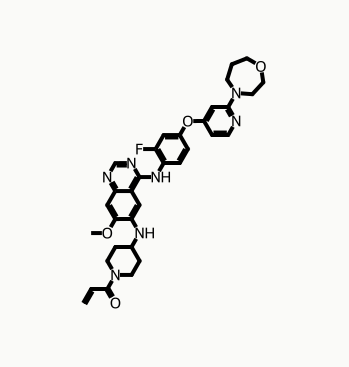 C=CC(=O)N1CCC(Nc2cc3c(Nc4ccc(Oc5ccnc(N6CCCOCC6)c5)cc4F)ncnc3cc2OC)CC1